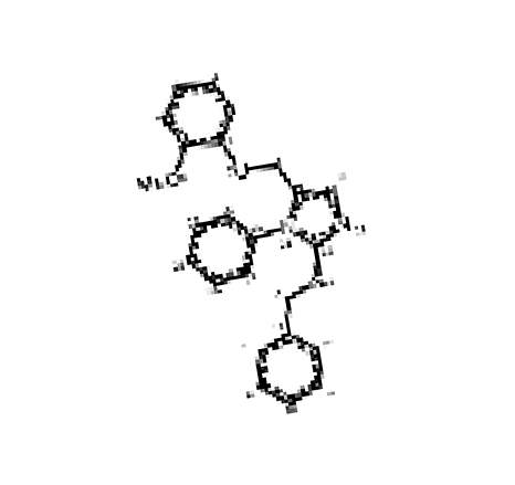 COc1ccccc1OCc1nnc(SCc2ccccc2)n1-c1ccccc1